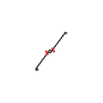 CC(C)CCCCCCCCCCCCCCCOC(=O)C1CCC(C(=O)OCCCCCCCCCCCCCCCC(C)C)CC1